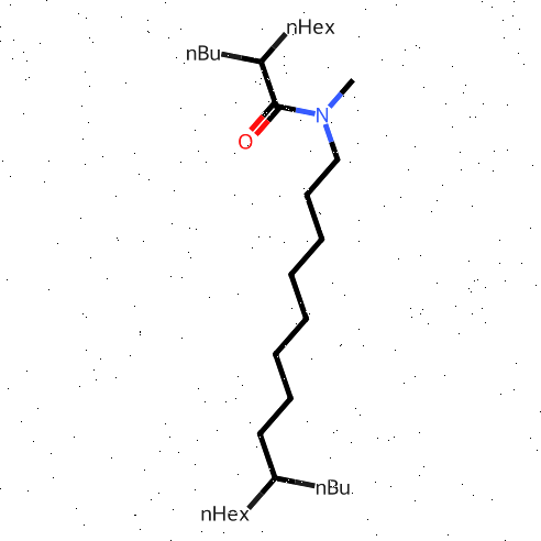 CCCCCCC(CCCC)CCCCCCCCN(C)C(=O)C(CCCC)CCCCCC